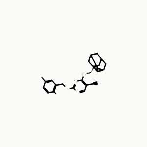 N#Cc1cnc(NCc2cc(Cl)ccc2Cl)nc1NC[C@]12CC3C[C@H](C1)[C@H](N)[C@@H](C3)C2